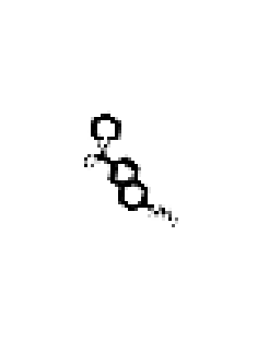 NC1CCc2cc(C(=O)N3CCCCC3)ccc2C1